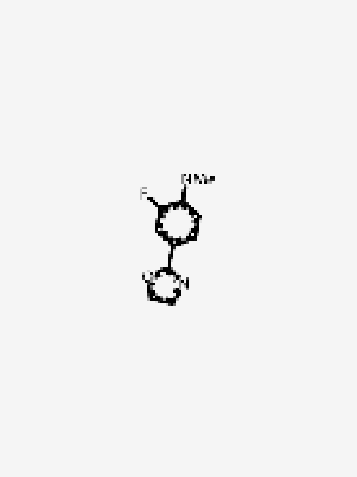 CNc1ccc(-c2ncco2)cc1F